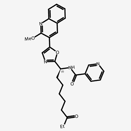 CCC(=O)CCCCC[C@H](NC(=O)c1cccnc1)c1ncc(-c2cc3ccccc3nc2OC)o1